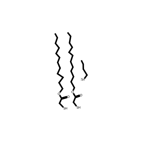 CCCCCCCCCCCCOC(=O)CS.CCCCCCCCCCCCOC(=O)CS.CCC[CH2][Sn]